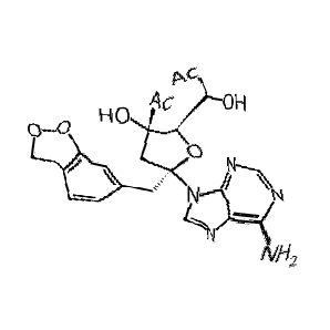 CC(=O)C(O)[C@H]1O[C@@](Cc2ccc3c(c2)OOC3)(n2cnc3c(N)ncnc32)C[C@@]1(O)C(C)=O